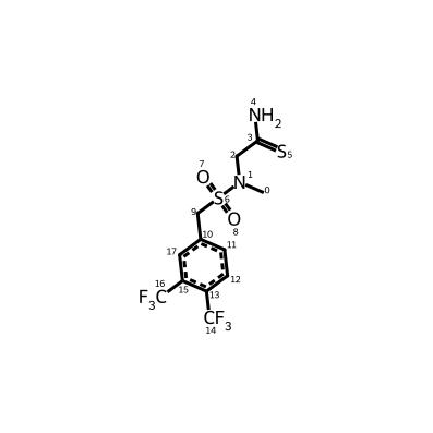 CN(CC(N)=S)S(=O)(=O)Cc1ccc(C(F)(F)F)c(C(F)(F)F)c1